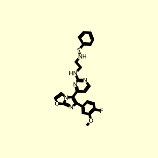 COc1cc(-c2nc3occn3c2-c2ccnc(NCCNSc3ccccc3)n2)ccc1F